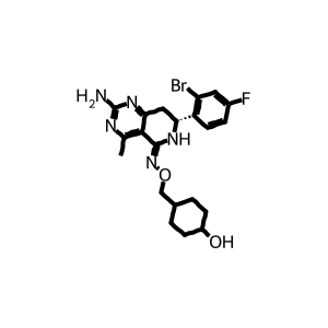 Cc1nc(N)nc2c1/C(=N/OCC1CCC(O)CC1)N[C@@H](c1ccc(F)cc1Br)C2